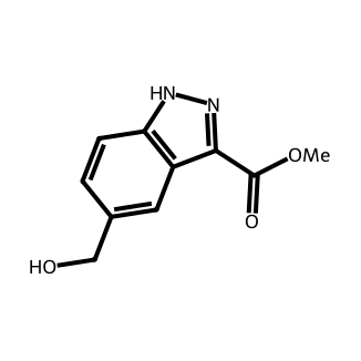 COC(=O)c1n[nH]c2ccc(CO)cc12